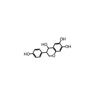 Oc1ccc(C2COc3cc(O)c(O)cc3C2O)cc1